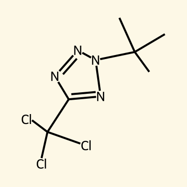 CC(C)(C)n1nnc(C(Cl)(Cl)Cl)n1